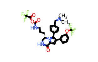 CN(C)Cc1ccc(-c2c(-c3cccc(OC(F)(F)F)c3)cc3n2[C@@H](CCCNC(=O)OC(=O)C(F)(F)F)CNC3=O)cc1